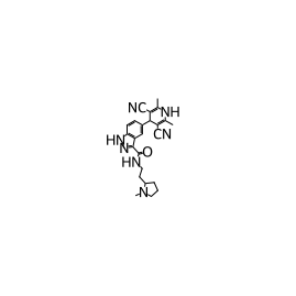 CC1=C(C#N)C(c2ccc3[nH]nc(C(=O)NCCC4CCCN4C)c3c2)C(C#N)=C(C)N1